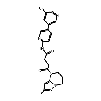 Cc1cc2n(n1)CCCN2C(=O)CCC(=O)Nc1ccc(-c2cncc(Cl)c2)cn1